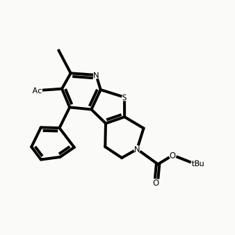 CC(=O)c1c(C)nc2sc3c(c2c1-c1ccccc1)CCN(C(=O)OC(C)(C)C)C3